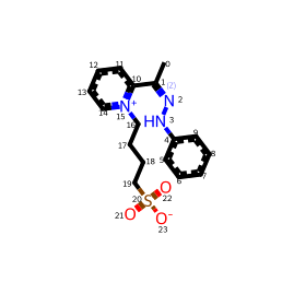 C/C(=N/Nc1ccccc1)c1cccc[n+]1CCCCS(=O)(=O)[O-]